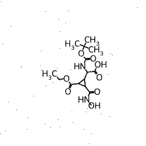 CCOC(=O)C1C(C(=O)NO)C1C(NC(=O)OC(C)(C)C)C(=O)O